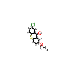 COc1ccc2sc3ccc(Cl)cc3c(=O)c2c1